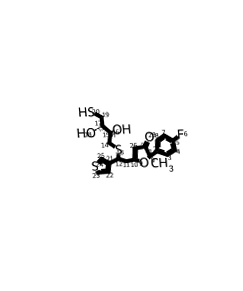 CC1(c2ccc(F)cc2)OC(CC(SC[C@@H](O)[C@H](O)CS)c2ccsc2)=CC1=O